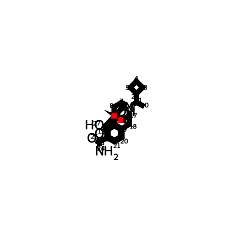 CC(C1CCC1)N1CCC23CC(=O)CCC2(O)C1Cc1ccc(C(N)=O)c(O)c13